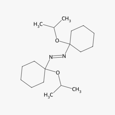 CC(C)OC1(N=NC2(OC(C)C)CCCCC2)CCCCC1